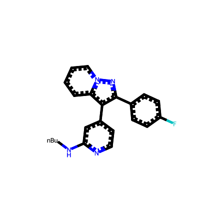 CCCCNc1cc(-c2c(-c3ccc(F)cc3)nn3ccccc23)ccn1